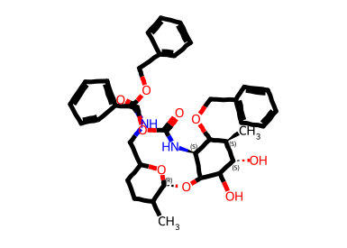 CC1CCC(CNC(=O)OCc2ccccc2)O[C@@H]1OC1C(O)[C@@H](O)[C@H](C)C(OCc2ccccc2)[C@@H]1NC(=O)OCc1ccccc1